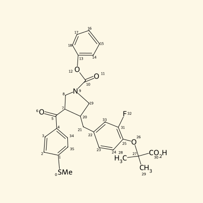 CSc1ccc(C(=O)C2CN(C(=O)Oc3ccccc3)CC2Cc2ccc(OC(C)(C)C(=O)O)c(F)c2)cc1